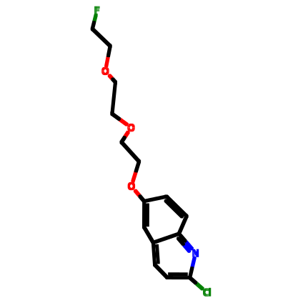 FCCOCCOCCOc1ccc2nc(Cl)ccc2c1